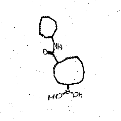 O=C(NC1CCCCCCC1)C1CCCCCCC(B(O)O)CCC1